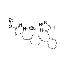 CCOc1nc(Cc2ccc(-c3ccccc3-c3nnn[nH]3)cc2)n(C(C)(C)C)n1